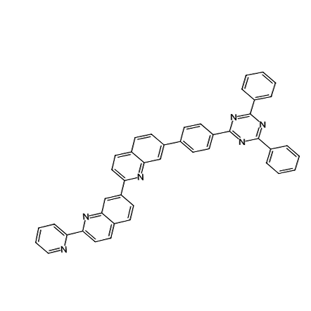 c1ccc(-c2nc(-c3ccccc3)nc(-c3ccc(-c4ccc5ccc(-c6ccc7ccc(-c8ccccn8)nc7c6)nc5c4)cc3)n2)cc1